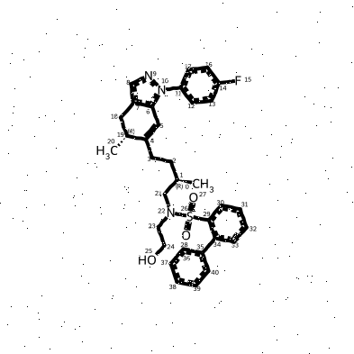 C[C@H](CCC1=Cc2c(cnn2-c2ccc(F)cc2)C[C@H]1C)CN(CCO)S(=O)(=O)c1ccccc1-c1ccccc1